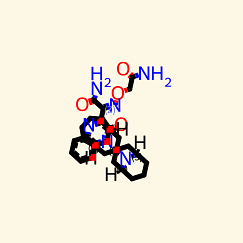 NC(=O)CO/N=C(\C(N)=O)c1nc2ccccc2n([C@H]2C[C@H]3CCC[C@@H](C2)N3C2C[C@H]3CCCC[C@@H](C2)C3)c1=O